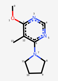 COc1n[c]nc(N2CCCC2)c1C